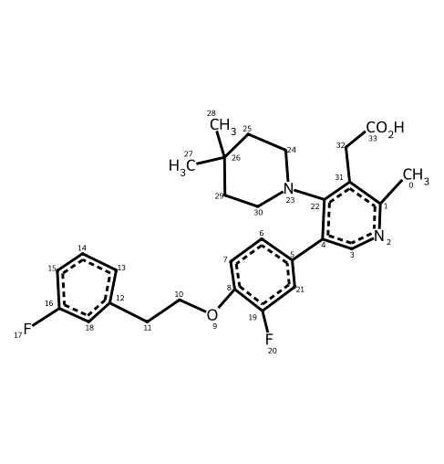 Cc1ncc(-c2ccc(OCCc3cccc(F)c3)c(F)c2)c(N2CCC(C)(C)CC2)c1CC(=O)O